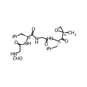 CC(C)C[C@H](NC(=O)CNC=O)C(=O)NCC(=O)N[C@@H](CC(C)C)C(=O)[C@@]1(C)CO1